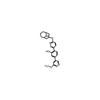 COc1cc(-c2ccc(-c3ccc(OC4CC5CCCC(C4)N5)nn3)c(O)c2)cnn1